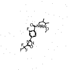 CONC(C)C(C)CNC(=O)c1ccc(-c2noc(C(F)(F)F)n2)cc1F